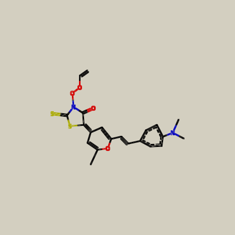 C=COON1C(=O)/C(=C2/C=C(C)OC(/C=C/c3ccc(N(C)C)cc3)=C2)SC1=S